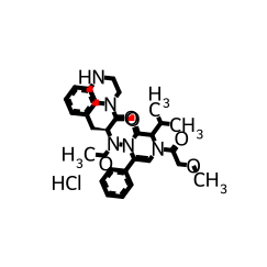 COCC(=O)N1C=C(c2ccccc2)N(N(C(C)=O)[C@@H](Cc2ccccc2)C(=O)N2CCNCC2)C(=O)C1C(C)C.Cl